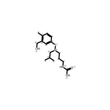 Cc1ccc(SN(CCCNC(=O)O)CC(C)C)cc1CO